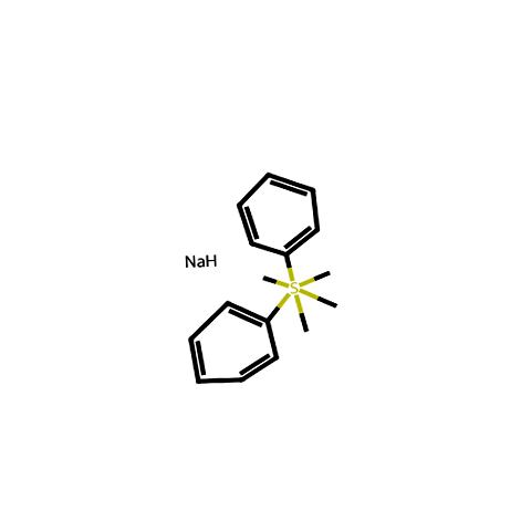 CS(C)(C)(C)(c1ccccc1)c1ccccc1.[NaH]